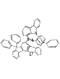 c1ccc(-c2ccc(N(c3cc4c(c5oc6ccccc6c35)-c3ccccc3C4(c3ccccc3)c3ccccc3)c3cccc4c5ccccc5n(-c5ccccc5)c34)cc2)cc1